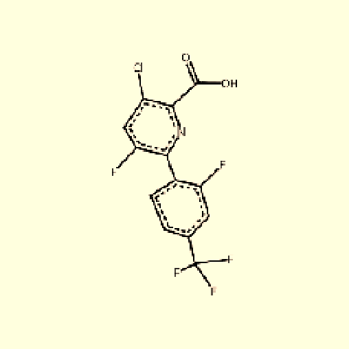 O=C(O)c1nc(-c2ccc(C(F)(F)F)cc2F)c(F)cc1Cl